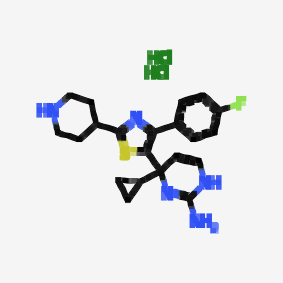 Cl.Cl.NC1=NC(c2sc(C3CCNCC3)nc2-c2ccc(F)cc2)(C2CC2)C=CN1